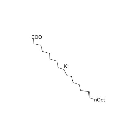 CCCCCCCCC=CCCCCCCCCCCCCCC(=O)[O-].[K+]